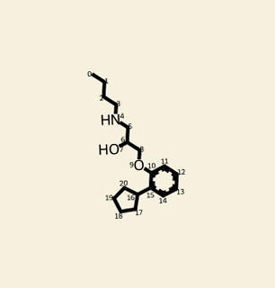 CCCCNCC(O)COc1ccccc1C1CCCC1